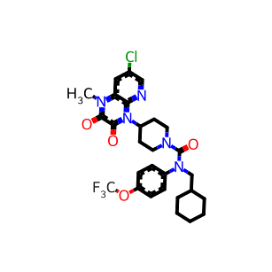 Cn1c(=O)c(=O)n(C2CCN(C(=O)N(CC3CCCCC3)c3ccc(OC(F)(F)F)cc3)CC2)c2ncc(Cl)cc21